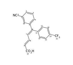 N#Cc1cccc(C(=CC=CC(=O)O)c2ccc(C(F)(F)F)cc2)c1